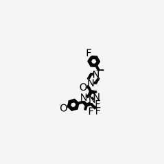 COc1ccc(-c2nc3c(C(=O)N4CCN([C@H](C)c5ccc(F)cc5)CC4)cnn3c(C(F)(F)F)c2C)cc1